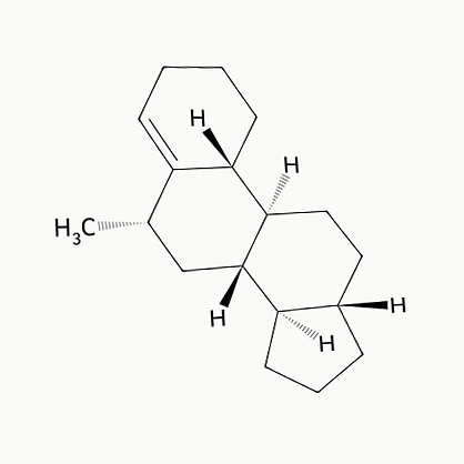 C[C@H]1C[C@H]2[C@@H]3CCC[C@H]3CC[C@@H]2[C@H]2CCCC=C12